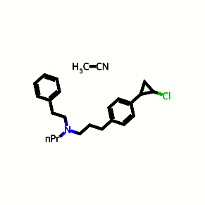 CC#N.CCCN(CCCc1ccc(C2CC2Cl)cc1)CCc1ccccc1